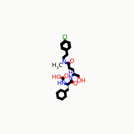 CN(CCc1ccc(Cl)cc1)C(=O)CC[C@@H](CO)NC(=O)[C@H](CC1CCCCC1)NC(=O)O